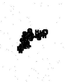 CC[C@H](C)[C@@H]([C@@H](CC(=O)N1CCC[C@H]1[C@H](OC)[C@@H](C)C(=O)N[C@@H](Cc1ccccc1)C(=O)NS(=O)(=O)CCCNC(=O)OC[C@@H]1[C@@H]2CCC#CCC[C@@H]21)OC)N(C)C(=O)[C@@H](N=C(N(C)C)N(C)C)C(C)C